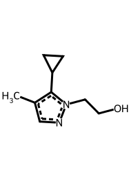 Cc1cnn(CCO)c1C1CC1